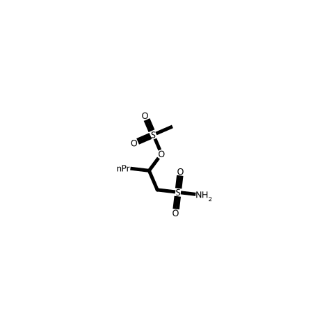 CCCC(CS(N)(=O)=O)OS(C)(=O)=O